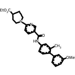 CCOC(=O)C1CCN(c2ccc(C(=O)Nc3ccc(-c4cccc(OC)c4)c(C)c3)cn2)CC1